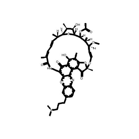 CO[C@H]1/C=C/O[C@@]2(C)Oc3c(C)c(O)c4c(=O)c(c5oc6cc(CCCN(C)C)ccc6nc-5c4c3C2=O)NC(=O)/C(C)=C\C=C\[C@H](C)[C@@H]2O[C@H]([C@H](O)[C@@H]2C)[C@H](OC(C)=O)[C@@H]1C